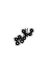 C1=CCC2C(=C1)c1ccc(C3=NC(c4cccc(-c5ccccc5)c4)NC(c4ccccc4)=N3)cc1N2C1CC=Cc2c1sc1c(-c3ccccc3)cccc21